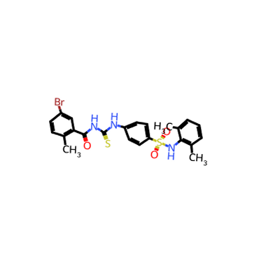 Cc1ccc(Br)cc1C(=O)NC(=S)Nc1ccc(S(=O)(=O)Nc2c(C)cccc2C)cc1